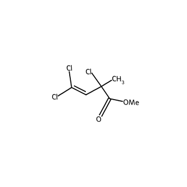 COC(=O)C(C)(Cl)C=C(Cl)Cl